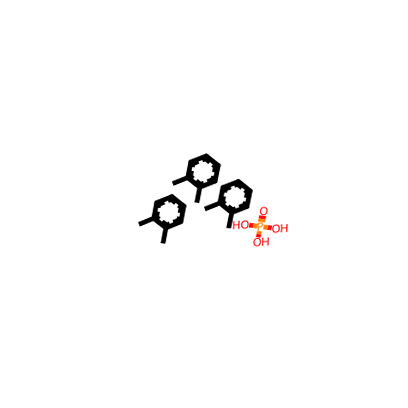 Cc1ccccc1C.Cc1ccccc1C.Cc1ccccc1C.O=P(O)(O)O